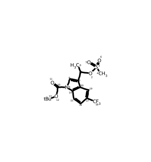 CC(OS(C)(=O)=O)c1cn(C(=O)OC(C)(C)C)c2ccc(C(F)(F)F)cc12